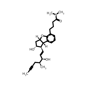 CC#CC[C@H](C)[C@H](O)/C=C/[C@@H]1[C@H]2c3cccc(CCCC(=O)N(C)C)c3O[C@H]2C[C@H]1O